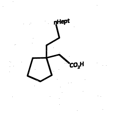 CCCCCCCCCC1(CC(=O)O)CCCC1